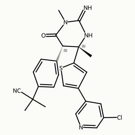 CN1C(=N)N[C@](C)(c2cc(-c3cncc(Cl)c3)cs2)[C@H](c2ccc(C(C)(C)C#N)cc2)C1=O